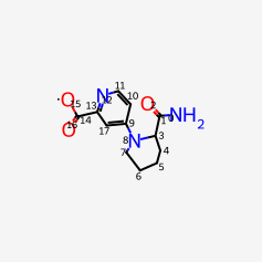 NC(=O)C1CCCCN1c1ccnc(C([O])=O)c1